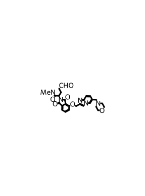 CNC(=O)C(CCC=O)N1C(=O)c2cccc(OCc3cn4cc(CN5CCOCC5)ccc4n3)c2C1=O